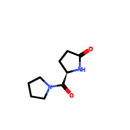 O=C1CC[C@@H](C(=O)N2CCCC2)N1